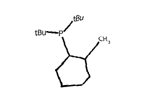 CC1CCCCC1P(C(C)(C)C)C(C)(C)C